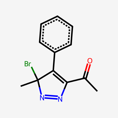 CC(=O)C1=C(c2ccccc2)C(C)(Br)N=N1